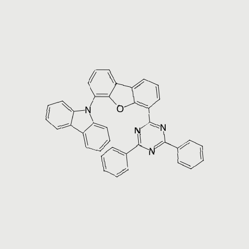 c1ccc(-c2nc(-c3ccccc3)nc(-c3cccc4c3oc3c(-n5c6ccccc6c6ccccc65)cccc34)n2)cc1